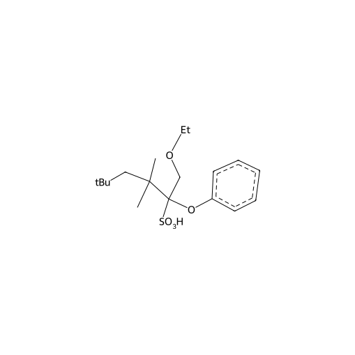 CCOCC(Oc1ccccc1)(C(C)(C)CC(C)(C)C)S(=O)(=O)O